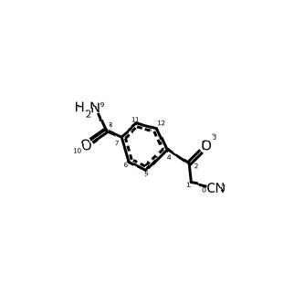 N#CCC(=O)c1ccc(C(N)=O)cc1